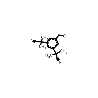 CC(C)(C#N)c1cc(CCl)cc(C(C)(C)C#N)c1